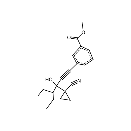 CCC(CC)C(O)(C#Cc1cccc(C(=O)OC)c1)C1(C#N)CC1